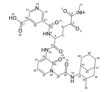 CNC(=O)C(=O)CCC(NC(=O)c1cncc(C(=O)O)c1)C(=O)Nc1cccn(CC(=O)NC2C(C)CC3CCCC2C3)c1=O